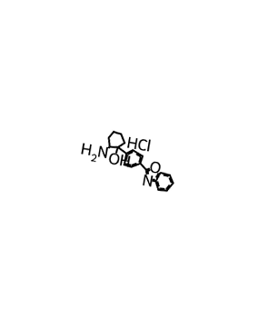 Cl.NC1CCCCC1(O)c1ccc(-c2nc3ccccc3o2)cc1